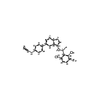 CC(On1ccc2ncc(-c3ccc(CC#N)cc3)cc21)c1c(Cl)ccc(F)c1Cl